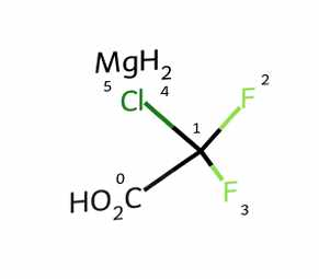 O=C(O)C(F)(F)Cl.[MgH2]